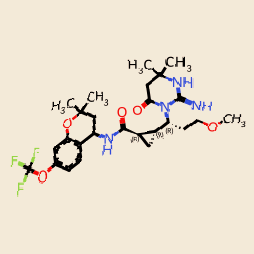 COCC[C@H]([C@@H]1C[C@H]1C(=O)NC1CC(C)(C)Oc2cc(OC(F)(F)F)ccc21)N1C(=N)NC(C)(C)CC1=O